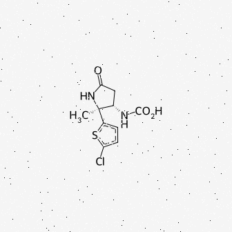 C[C@]1(c2ccc(Cl)s2)NC(=O)C[C@@H]1NC(=O)O